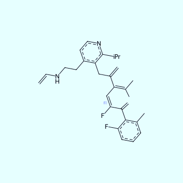 C=CNCCc1ccnc(C(C)C)c1CC(=C)C(/C=C(/F)C(=C)c1c(C)cccc1F)=C(C)C